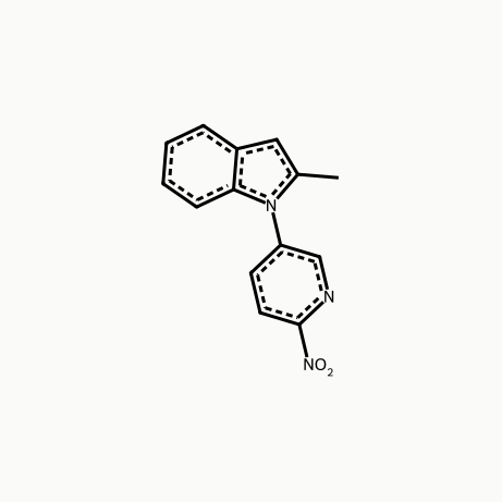 Cc1cc2ccccc2n1-c1ccc([N+](=O)[O-])nc1